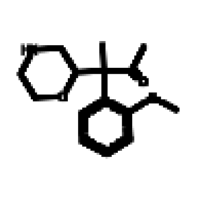 CSc1ccccc1C(C)(C(C)=O)C1CNCCO1